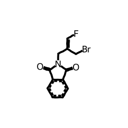 O=C1c2ccccc2C(=O)N1CC(=CF)CBr